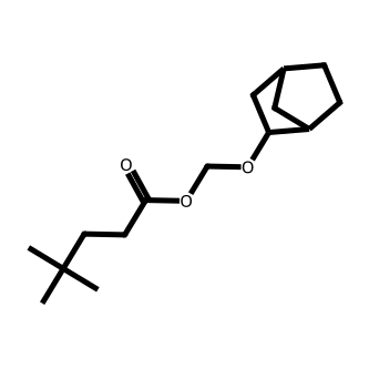 CC(C)(C)CCC(=O)OCOC1CC2CCC1C2